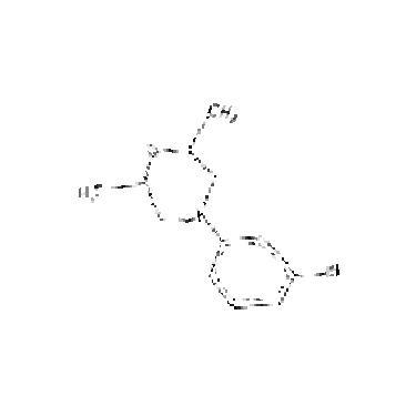 CCc1cccc(N2CC(C)OC(C)C2)c1